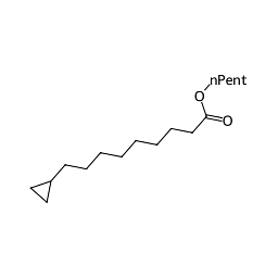 CCCCCOC(=O)CCCCCCCCC1CC1